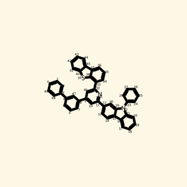 c1ccc(-c2cccc(-c3cc(-c4ccc5c6ccccc6n(-c6ccccc6)c5c4)nc(-c4cccc5c4sc4ccccc45)c3)c2)cc1